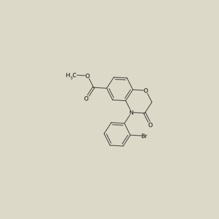 COC(=O)c1ccc2c(c1)N(c1ccccc1Br)C(=O)CO2